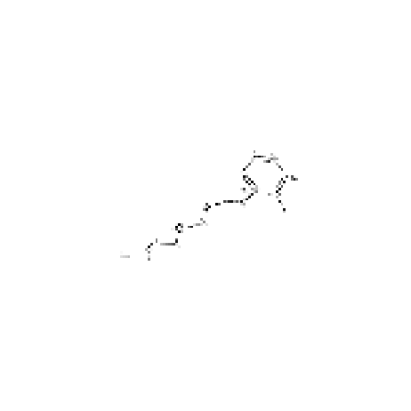 CC=CCOC=CCc1ccccc1C